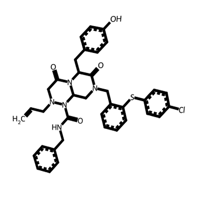 C=CCN1CC(=O)N2C(Cc3ccc(O)cc3)C(=O)N(Cc3ccccc3Sc3ccc(Cl)cc3)CC2N1C(=O)NCc1ccccc1